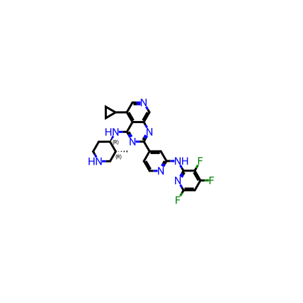 C[C@@H]1CNCC[C@H]1Nc1nc(-c2ccnc(Nc3nc(F)cc(F)c3F)c2)nc2cncc(C3CC3)c12